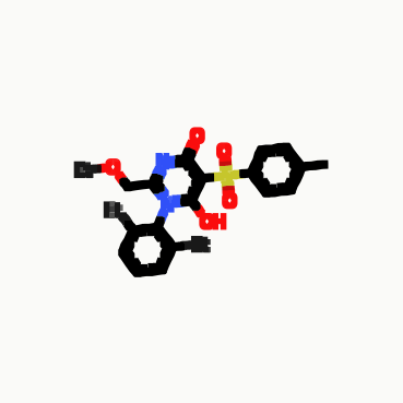 CCOCc1nc(=O)c(S(=O)(=O)c2ccc(C)cc2)c(O)n1-c1c(CC)cccc1CC